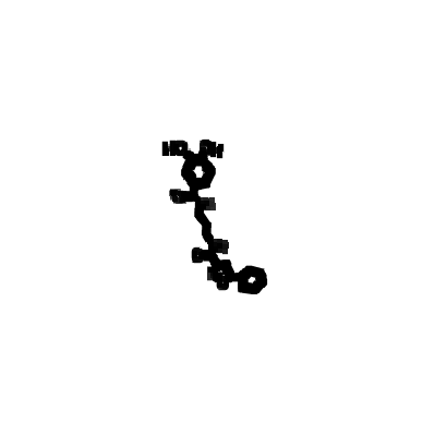 O=C(NCCCNC(=O)c1cc(-c2ccccc2)on1)c1ccc(O)c(O)c1